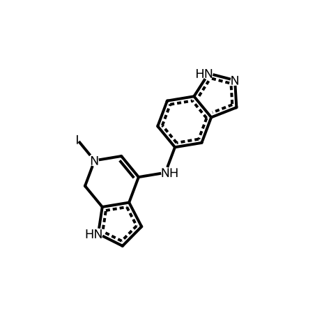 IN1C=C(Nc2ccc3[nH]ncc3c2)c2cc[nH]c2C1